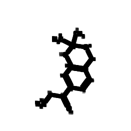 CC1(C)OCc2ccc(C(=O)CN)cc2O1